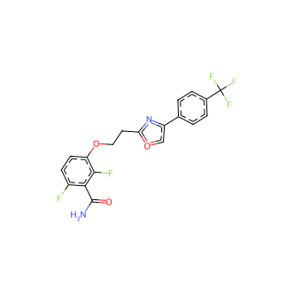 NC(=O)c1c(F)ccc(OCCc2nc(-c3ccc(C(F)(F)F)cc3)co2)c1F